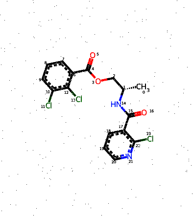 C[C@@H](COC(=O)c1cccc(Cl)c1Cl)NC(=O)c1cccnc1Cl